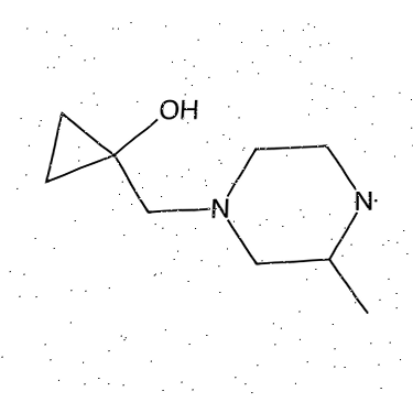 CC1CN(CC2(O)CC2)CC[N]1